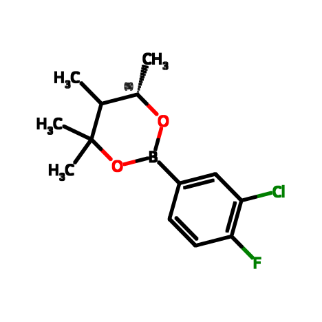 CC1[C@H](C)OB(c2ccc(F)c(Cl)c2)OC1(C)C